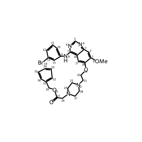 COc1cc2ncnc(Nc3cccc(Br)c3)c2cc1OCCN1CCN(CC(=O)OCc2ccccc2)CC1